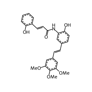 COc1cc(C=Cc2ccc(O)c(NC(=O)/C=C/c3ccccc3O)c2)cc(OC)c1OC